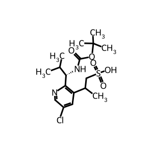 CC(CS(=O)(=O)O)c1cc(Cl)cnc1[C@@H](NC(=O)OC(C)(C)C)C(C)C